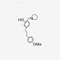 COc1ccc(CCCc2ccc(CN3CCCCC3)c(O)c2)cc1